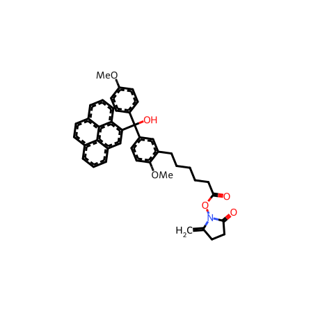 C=C1CCC(=O)N1OC(=O)CCCCCc1cc(C(O)(c2ccc(OC)cc2)c2cc3cccc4ccc5cccc2c5c43)ccc1OC